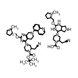 CN1CCCC1COC1NC2CNCC2C(N2CCN(C(=O)O)C(CC#N)C2)N1.CN1CCC[C@H]1COc1nc2c(c(N3CCN(C(=O)OC(C)(C)C)C(CC#N)C3)n1)CCN(c1cccc3ncccc13)C2